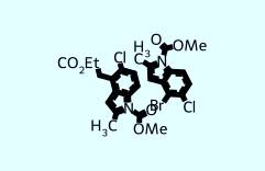 CCOC(=O)Cc1c(Cl)ccc2c1cc(C)n2C(=O)OC.COC(=O)n1c(C)cc2c(Br)c(Cl)ccc21